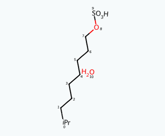 CC(C)CCCCCCCOS(=O)(=O)O.O